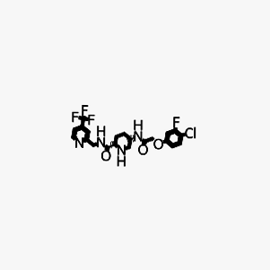 O=C(COc1ccc(Cl)c(F)c1)N[C@H]1CC[C@H](C(=O)NCc2cc(C(F)(F)F)ccn2)NC1